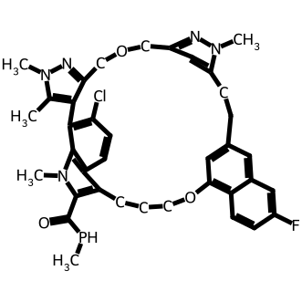 CPC(=O)c1c2c3ccc(Cl)c(c3n1C)-c1c(nn(C)c1C)COCc1cc(n(C)n1)CCc1cc(c3ccc(F)cc3c1)OCCC2